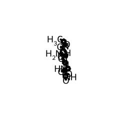 Cc1ccc2onc(C(=O)N3CC[C@H]4CC[C@@H](C(=O)N5CCN(c6cccc7c6[nH]c(=O)n7C6CCC(=O)NC6=O)CC5)N4C(=O)[C@@H](N)C3)c2c1